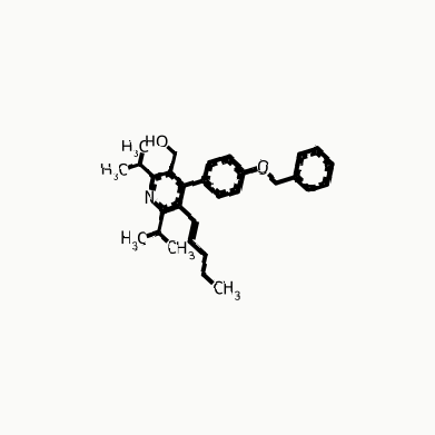 CCCC=Cc1c(C(C)C)nc(C(C)C)c(CO)c1-c1ccc(OCc2ccccc2)cc1